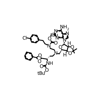 CC(C)(C)OC(=O)N[C@@H](CCN(CCN(CCc1ccc(Cl)cc1)C(=O)OC(C)(C)C)C[C@H]1O[C@@H](n2cnc3c(N)ncnc32)[C@@H]2OC(C)(C)O[C@@H]21)C1OC(c2ccccc2)O1